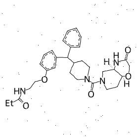 CCC(=O)NCCOc1cccc(C(c2ccccc2)C2CCN(C(=O)N3CC[C@@H]4OCC(=O)N[C@@H]4C3)CC2)c1